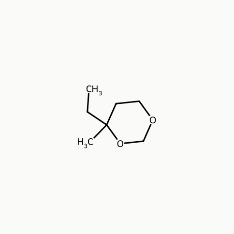 CCC1(C)CCOCO1